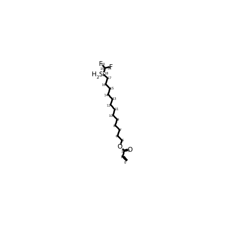 C=CC(=O)OCCCCCCCCCCCCC[SiH2]C(F)F